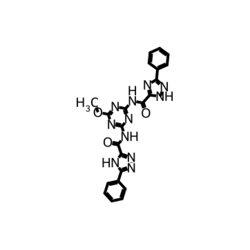 COc1nc(NC(=O)c2nc(-c3ccccc3)n[nH]2)nc(NC(=O)c2nnc(-c3ccccc3)[nH]2)n1